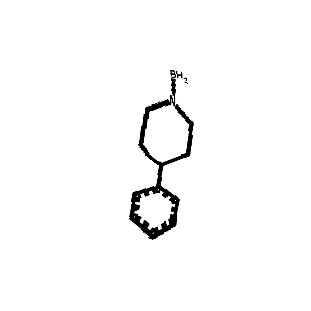 BN1CCC(c2ccccc2)CC1